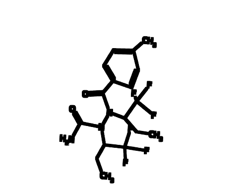 CCC(N(C(N)=O)N(C(=O)c1ccc(C)cc1)C(CC)C(F)(F)F)C(F)(F)F